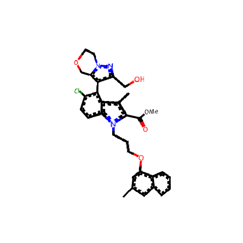 COC(=O)c1c(C)c2c(-c3c(CO)nn4c3COCC4)c(Cl)ccc2n1CCCOc1cc(C)cc2ccccc12